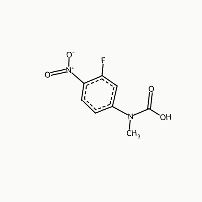 CN(C(=O)O)c1ccc([N+](=O)[O-])c(F)c1